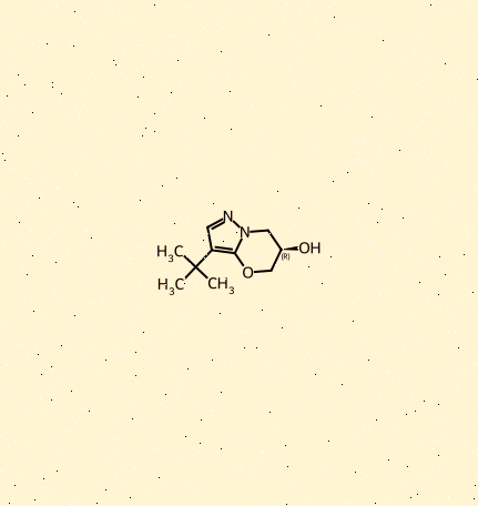 CC(C)(C)c1cnn2c1OC[C@H](O)C2